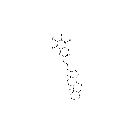 CC12CCCCC1CCC1C2CCC2(C)C(CCCC(=O)Oc3c(F)c(F)c(F)c(F)c3F)CCC12